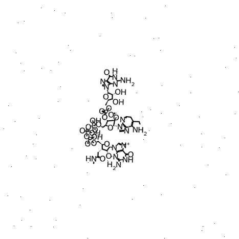 CCC1=C(N)c2ncn([C@@H]3OC(COP(=O)(O)OP(=O)(O)OP(=O)(O)OC[C@H]4O[C@@H](n5c[n+](C)c6c(=O)[nH]c(N)nc65)[C@H](OC)[C@@H]4CC(=O)NC)[C@@H](OP(=O)([O-])OC[C@H]4O[C@@H](n5cnc6c(=O)[nH]c(N)nc65)[C@H](O)[C@@H]4O)[C@H]3OC)c2N=CC1